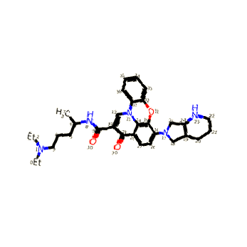 CCN(CC)CCCC(C)NC(=O)c1cn2c3c(c(N4CC5CCCNC5C4)ccc3c1=O)Oc1ccccc1-2